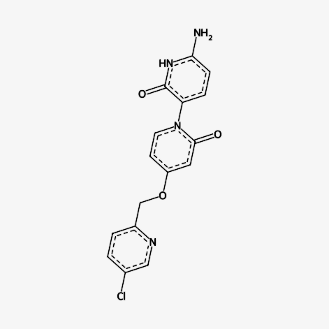 Nc1ccc(-n2ccc(OCc3ccc(Cl)cn3)cc2=O)c(=O)[nH]1